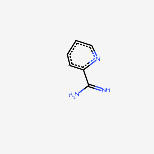 N=C(N)c1[c]cccn1